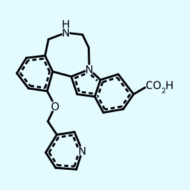 O=C(O)c1ccc2cc3n(c2c1)CCNCc1cccc(OCc2cccnc2)c1-3